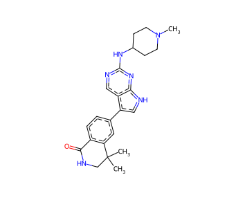 CN1CCC(Nc2ncc3c(-c4ccc5c(c4)C(C)(C)CNC5=O)c[nH]c3n2)CC1